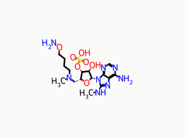 CNc1nc2c(N)ncnc2n1[C@@H]1O[C@H](CN(C)CCCCON)[C@@H](OS(=O)(=O)O)[C@H]1O